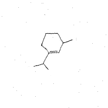 CC1C=C(C(O)O)CCC1